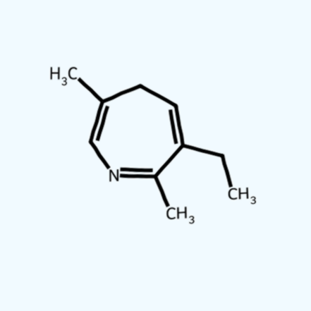 CCC1=CCC(C)=CN=C1C